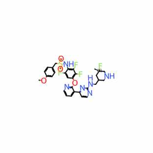 COc1ccc(CS(=O)(=O)Nc2c(F)cc(Oc3ncccc3-c3ccnc(NCC4CNC[C@@](C)(F)C4)n3)c(F)c2F)cc1